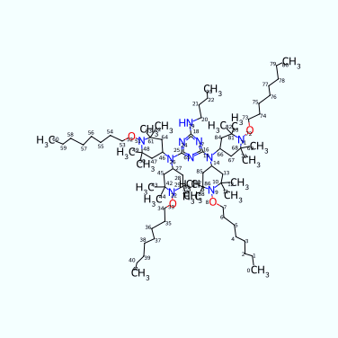 CCCCCCCCON1C(C)(C)CC(N(c2nc(NCCCC)nc(N(C3CC(C)(C)N(OCCCCCCCC)C(C)(C)C3)C3CC(C)(C)N(OCCCCCCCC)C(C)(C)C3)n2)C2CC(C)(C)N(OCCCCCCCC)C(C)(C)C2)CC1(C)C